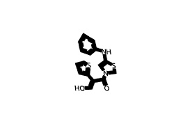 O=C(C(=CO)c1cccs1)N1C=C(Nc2ccccc2)SC1